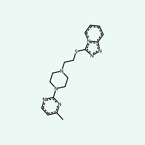 Cc1ccnc(N2CCN(CCSc3nnc4ccccn34)CC2)n1